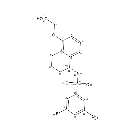 O=C(O)COc1cccc2c1CCC[C@H]2NS(=O)(=O)c1cc(F)cc(C(F)(F)F)c1